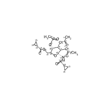 CC(=O)OC1C(OC(C)=O)[C@H](NC(=O)C2CC2)OC(COC(=O)C2CC2)[C@@H]1OC(C)=O